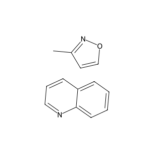 Cc1ccon1.c1ccc2ncccc2c1